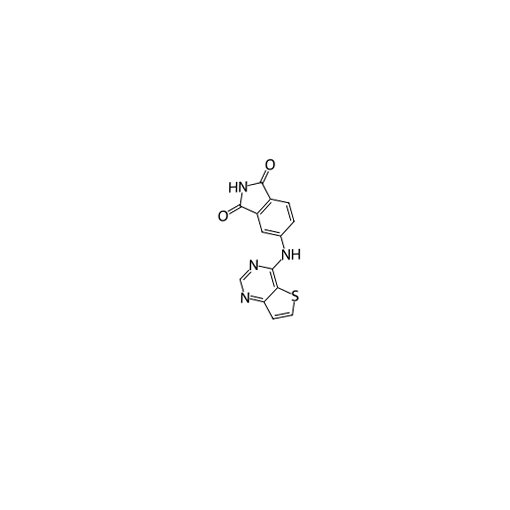 O=C1NC(=O)c2cc(Nc3ncnc4ccsc34)ccc21